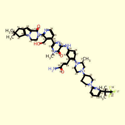 C[C@H]1CN(C2CCN(c3cccc(C(C)(C)C(F)(F)F)n3)CC2)CCN1c1ccc(Nc2nc(-c3ccnc(N4CCn5c(cc6c5CC(C)(C)C6)C4=O)c3CO)cn(C)c2=O)cc1C=CC(N)=O